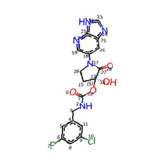 O=C(NCc1cc(F)cc(Cl)c1)O[C@@]1(O)CCN(c2cnc3[nH]cnc3c2)C1=O